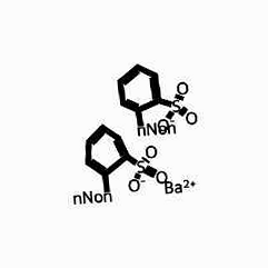 CCCCCCCCCc1ccccc1S(=O)(=O)[O-].CCCCCCCCCc1ccccc1S(=O)(=O)[O-].[Ba+2]